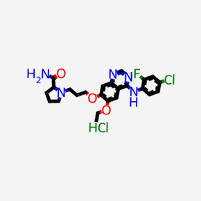 CCOc1cc2c(Nc3ccc(Cl)cc3F)ncnc2cc1OCCCN1CCCC1C(N)=O.Cl